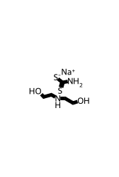 NC(=S)[S-].OCCNCCO.[Na+]